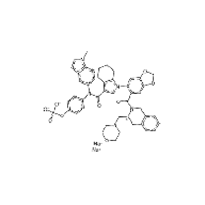 Cn1ccc2cc(N(C(=O)c3cn(-c4cc5c(cc4C(=O)N4Cc6ccccc6C[C@H]4CN4CCOCC4)OCO5)c4c3CCCC4)c3ccc(OP(=O)([O-])[O-])cc3)cnc21.[Na+].[Na+]